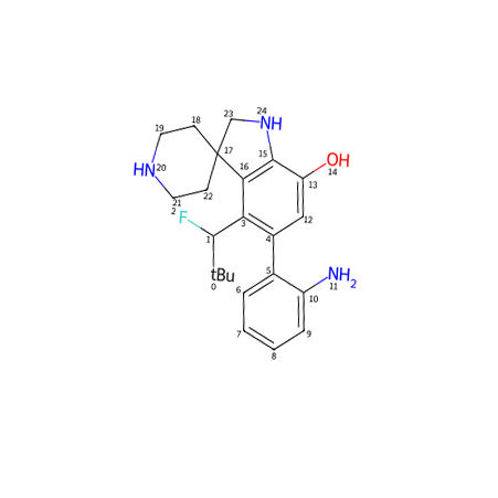 CC(C)(C)C(F)c1c(-c2ccccc2N)cc(O)c2c1C1(CCNCC1)CN2